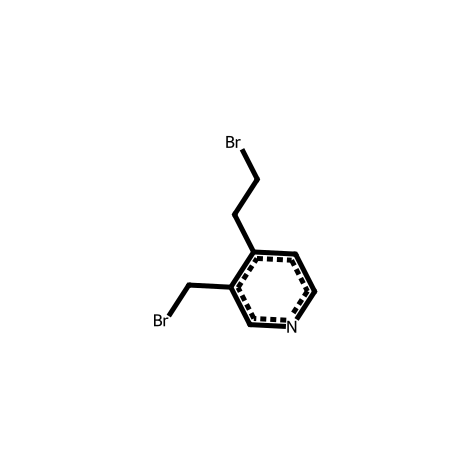 BrCCc1ccncc1CBr